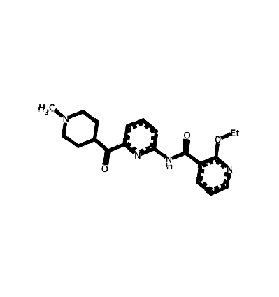 CCOc1ncccc1C(=O)Nc1cccc(C(=O)C2CCN(C)CC2)n1